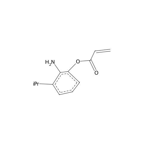 C=CC(=O)Oc1cccc(C(C)C)c1N